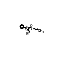 CCCCOC(=O)c1nc(-c2ccccc2)sc1CBr